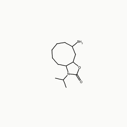 BC1CCCCCC2C(C1)OC(=O)N2C(C)C